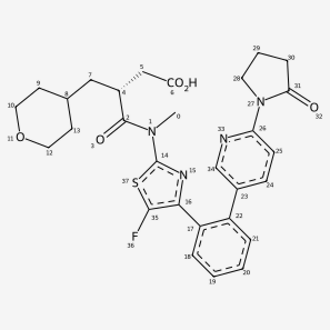 CN(C(=O)[C@@H](CC(=O)O)CC1CCOCC1)c1nc(-c2ccccc2-c2ccc(N3CCCC3=O)nc2)c(F)s1